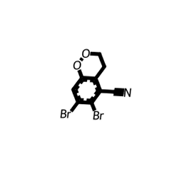 N#Cc1c(Br)c(Br)cc2c1CCOO2